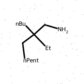 CCCCCCC([CH]N)(CC)CCCC